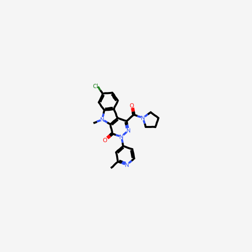 Cc1cc(-n2nc(C(=O)N3CCCC3)c3c4ccc(Cl)cc4n(C)c3c2=O)ccn1